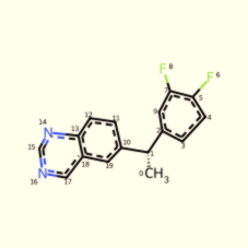 C[C@@H](c1ccc(F)c(F)c1)c1ccc2ncncc2c1